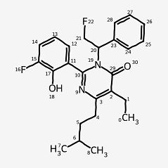 CCc1c(CCC(C)C)nc(-c2cccc(F)c2O)n(C(CF)c2ccccc2)c1=O